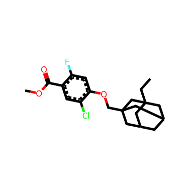 CCC12CC3CC(C1)CC(COc1cc(F)c(C(=O)OC)cc1Cl)(C3)C2